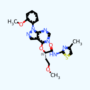 COCC[C@H](Oc1ncnc2c1cnn2-c1ccccc1OC)C(=O)Nc1nc(C)cs1